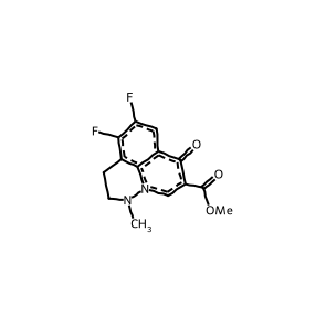 COC(=O)c1cn2c3c(c(F)c(F)cc3c1=O)CCN2C